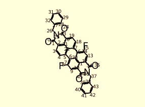 O=C1c2ccc3c4c(F)cc5c6c(cc(F)c(c7ccc(c2c37)C(=O)N1Cc1ccccc1)c64)C(=O)N(Cc1ccccc1)C5=O